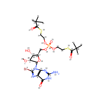 CO[C@H]1C(n2c(Br)nc3c(=O)[nH]c(N)nc32)O[C@H](COP(=O)(OCCSC(=O)C(C)(C)C)OCCSC(=O)C(C)(C)C)[C@H]1O